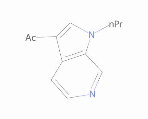 CCCn1cc(C(C)=O)c2ccncc21